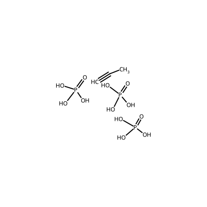 C#CC.O=P(O)(O)O.O=P(O)(O)O.O=P(O)(O)O